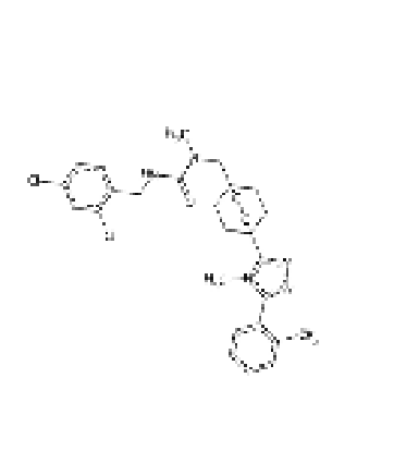 CN(CC12CCC(c3nnc(-c4ccccc4C(F)(F)F)n3C)(CC1)CC2)C(=O)NCc1ccc(Cl)cc1Cl